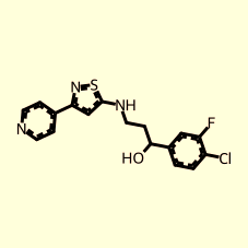 OC(CCNc1cc(-c2ccncc2)ns1)c1ccc(Cl)c(F)c1